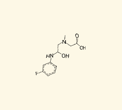 CN(CC(=O)O)CC(O)Nc1cccc(F)c1